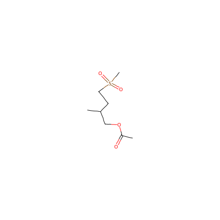 CC(=O)OCC(C)CCS(C)(=O)=O